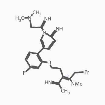 CN/C(CC(C)C)=C(/CCOc1cc(F)ccc1-c1ccc(=N)n(C(=N)CN(C)C)c1)C(C)=N